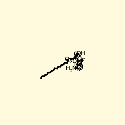 CCCCCCCCCCCCCCCCCC(=O)OCC(O)COP(=O)(O)CO[C@H](C)Cn1cnc2c(N)ncnc21